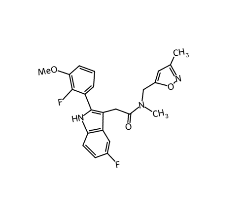 COc1cccc(-c2[nH]c3ccc(F)cc3c2CC(=O)N(C)Cc2cc(C)no2)c1F